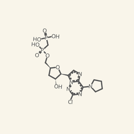 O=P(O)(O)CP(=O)(O)OC[C@@H]1C[C@@H](O)[C@H](c2cnc3c(N4CCCC4)nc(Cl)nn23)O1